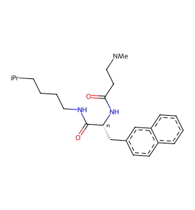 CNCCC(=O)N[C@H](Cc1ccc2ccccc2c1)C(=O)NCCCCC(C)C